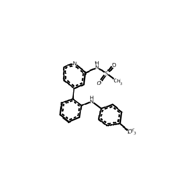 CS(=O)(=O)Nc1cc(-c2ccccc2Nc2ccc(C(F)(F)F)cc2)ccn1